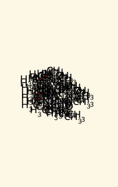 CC1(C)CC(ON2N=C(N(C3CC(C)(C)NC(C)(C)C3)C3CC(C)(C)NC(C)(C)C3)C=C(NCCN(CCNC3=CC(N(C4CC(C)(C)NC(C)(C)C4)C4CC(C)(C)NC(C)(C)C4)=NN(OC4CC(C)(C)NC(C)(C)C4)N3)C3=CC(N(C4CC(C)(C)NC(C)(C)C4)C4CC(C)(C)NC(C)(C)C4)=NN(OC4CC(C)(C)NC(C)(C)C4)N3)N2)CC(C)(C)N1